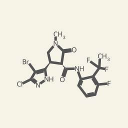 CN1C[C@H](c2[nH]nc(Cl)c2Br)[C@@H](C(=O)Nc2cccc(F)c2C(C)(F)F)C1=O